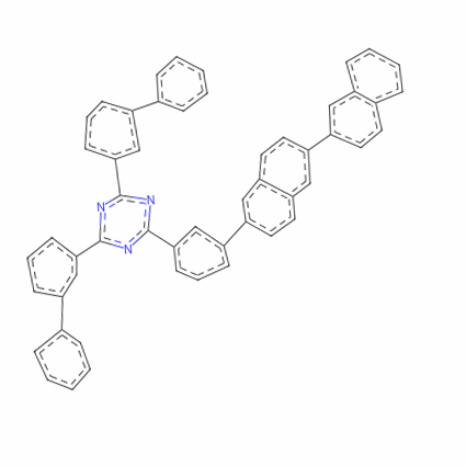 c1ccc(-c2cccc(-c3nc(-c4cccc(-c5ccccc5)c4)nc(-c4cccc(-c5ccc6cc(-c7ccc8ccccc8c7)ccc6c5)c4)n3)c2)cc1